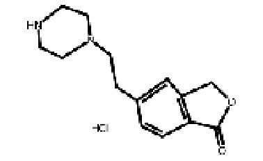 Cl.O=C1OCc2cc(CCN3CCNCC3)ccc21